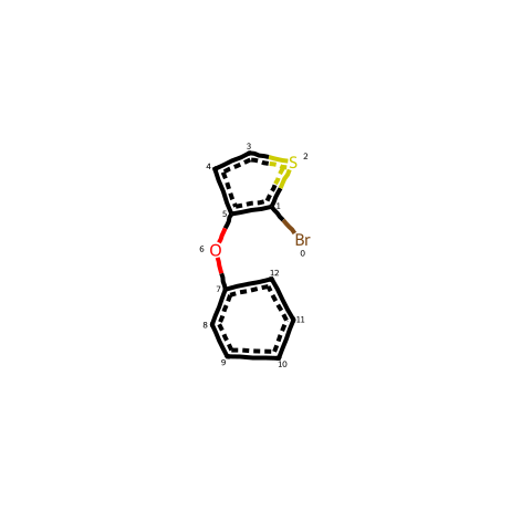 Brc1sccc1Oc1ccccc1